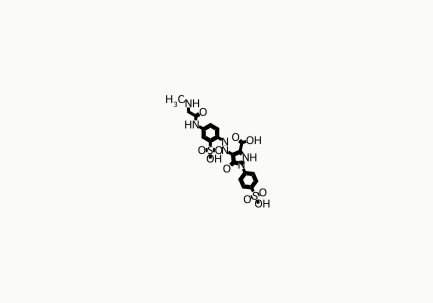 CNCC(=O)Nc1ccc(N=Nc2c(C(=O)O)[nH]n(-c3ccc(S(=O)(=O)O)cc3)c2=O)c(S(=O)(=O)O)c1